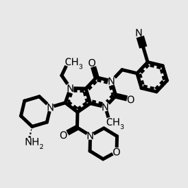 CCn1c(N2CCC[C@@H](N)C2)c(C(=O)N2CCOCC2)c2c1c(=O)n(Cc1ccccc1C#N)c(=O)n2C